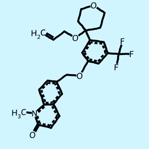 C=CCOC1(c2cc(OCc3ccc4c(ccc(=O)n4C)c3)cc(C(F)(F)F)c2)CCOCC1